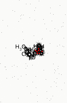 CCONS(=O)(=O)c1cc(C(=O)N2CCC(CCN3[C@@H]4CC[C@H]3CC(n3c(C)nc5ccccc53)C4)(c3cccc(F)c3)CC2)c(F)cc1Cl